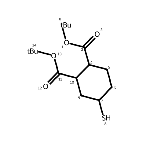 CC(C)(C)OC(=O)C1CCC(S)CC1C(=O)OC(C)(C)C